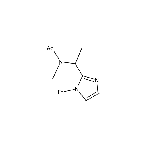 CCn1c[c]nc1C(C)N(C)C(C)=O